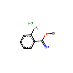 CCOC(=N)c1ccccc1C(F)(F)F.Cl